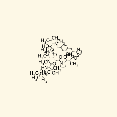 CC[C@H](C)[C@@H]([C@@H](CC(=O)N1CCC[C@H]1[C@H](OC)[C@@H](C)C(=O)N[C@@H](Cc1ccc(CN(C)[C@H](C(=O)O)C(C)C)cc1)c1nccs1)OC)N(C)C(=O)[C@@H](NC(=O)OC(C)(C)C)C(C)(C)O